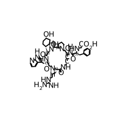 N=C(N)NCCC[C@@H]1NC(=O)[C@H](Cc2c[nH]c3ncccc23)NC(=O)[C@@H](C[C@H]2CC[C@@H](O)CC2)NC(=O)[C@@H]2CCCN2C(=O)[C@@H](NC(=O)[C@H](Cc2ccccc2)NCC(=O)O)CCCNC1=O